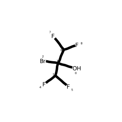 OC(Br)(C(F)F)C(F)F